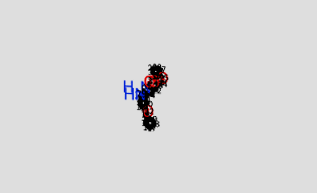 NC(=O)C(Cc1c[nH]c2ccc(OCc3ccccc3)cc12)CC1COc2ccccc2O1